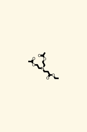 CCOC(=O)CCN(CCOC(C)=O)CCOC(C)=O